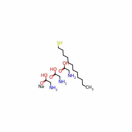 CCCCCCCCCCCCS.NCC(=O)O.NCC(=O)O.NCC(=O)O.[Na]